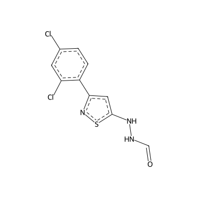 O=CNNc1cc(-c2ccc(Cl)cc2Cl)ns1